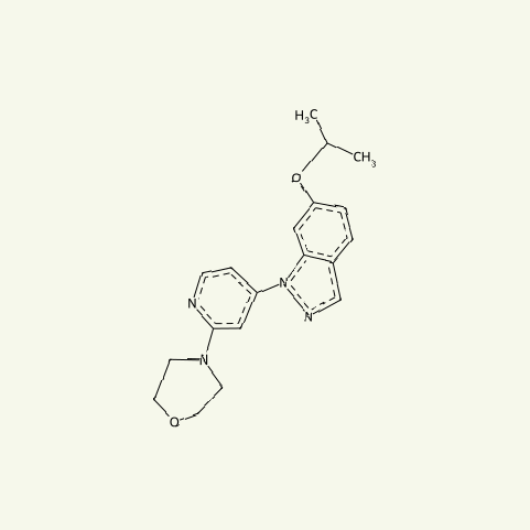 CC(C)Oc1ccc2cnn(-c3ccnc(N4CCOCC4)c3)c2c1